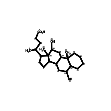 CC(CCC(=O)O)C1CCC2C3CC(O)C4CCCCC4(C)C3CC(O)C12C